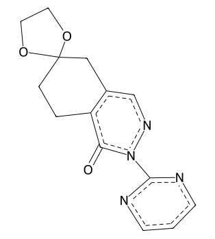 O=c1c2c(cnn1-c1ncccn1)CC1(CC2)OCCO1